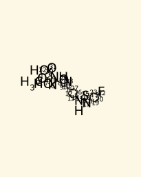 COCC(NC(=NO)c1cc(-c2ccc(Nc3nc4ccc(F)cc4s3)cc2)no1)C(=O)O